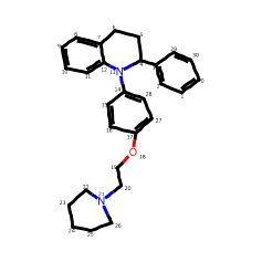 c1ccc(C2CCc3ccccc3N2c2ccc(OCCN3CCCCC3)cc2)cc1